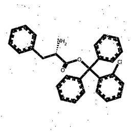 N[C@@H](Cc1ccccc1)C(=O)OC(c1ccccc1)(c1ccccc1)c1ccccc1Cl